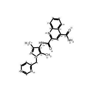 Cc1nn(Cc2ccncn2)c(C)c1NC(=O)c1cc(C(N)=O)c2ccccc2n1